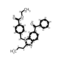 CCCc1nc2ccc(C(=O)c3ccccc3)cc2n1Cc1ccc(C(=O)OCC)cc1